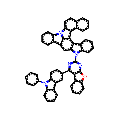 c1ccc(-n2c3ccccc3c3cc(-c4nc(-n5c6ccccc6c6c7c8c9ccccc9ccc8n8c9ccccc9c(cc65)c78)nc5oc6ccccc6c45)ccc32)cc1